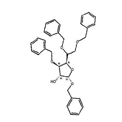 O[C@H]1[C@@H](OCc2ccccc2)O[C@H](C(COCc2ccccc2)OCc2ccccc2)[C@@H]1OCc1ccccc1